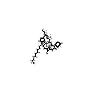 CCCCCCCCCCN1/C(=C\C2=C(O)C(=C\C3=[N+](CCCCCCCCCC)c4ccc(OC(C)C)cc4C3(C)C)/C2=O)Sc2ccccc21